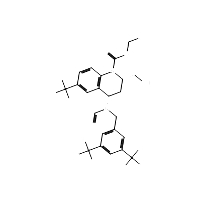 CCOC(=O)N1c2ccc(C(F)(F)F)cc2[C@@H](N(C=O)Cc2cc(C(F)(F)F)cc(C(F)(F)F)c2)C[C@H]1CC